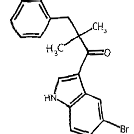 CC(C)(Cc1ccccc1)C(=O)c1c[nH]c2ccc(Br)cc12